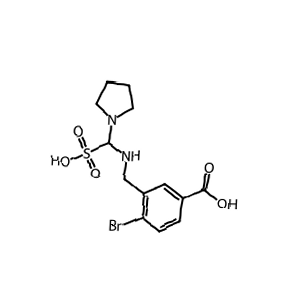 O=C(O)c1ccc(Br)c(CNC(N2CCCC2)S(=O)(=O)O)c1